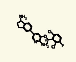 C[C@@H](Oc1cc(-c2ccc3c(c2)CCC3N)cnc1N)c1c(Cl)ccc(F)c1Cl